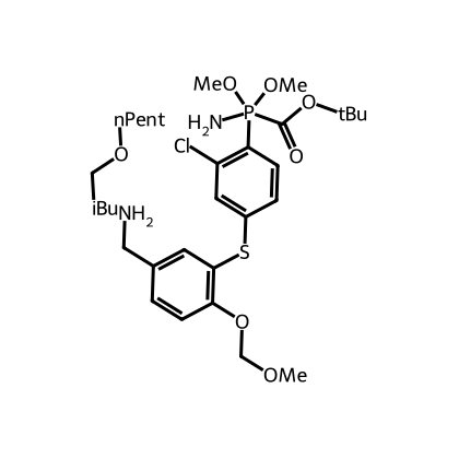 CCCCCOCC(C)CC.COCOc1ccc(CN)cc1Sc1ccc(P(N)(OC)(OC)C(=O)OC(C)(C)C)c(Cl)c1